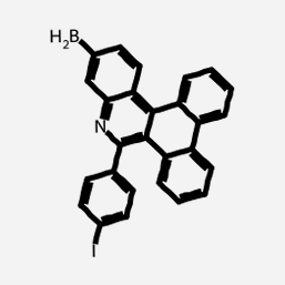 Bc1ccc2c(c1)nc(-c1ccc(I)cc1)c1c3ccccc3c3ccccc3c21